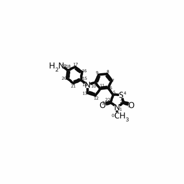 CN1C(=O)SC(c2cccc3c2ccn3-c2ccc(N)cc2)C1=O